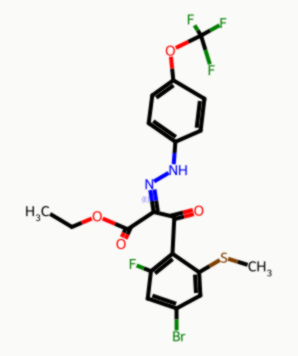 CCOC(=O)/C(=N/Nc1ccc(OC(F)(F)F)cc1)C(=O)c1c(F)cc(Br)cc1SC